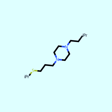 CC(C)CCN1CCN(CCCSC(C)C)CC1